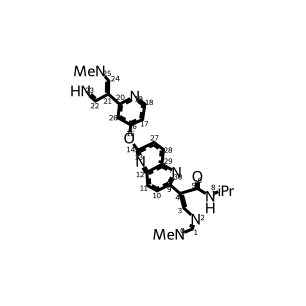 CN/C=N\C=C(/C(=O)NC(C)C)c1ccc2nc(Oc3ccnc(/C(C=N)=C/NC)c3)ccc2n1